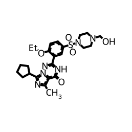 CCOc1ccc(S(=O)(=O)N2CCN(CO)CC2)cc1-c1nn2c(C3CCCC3)nc(C)c2c(=O)[nH]1